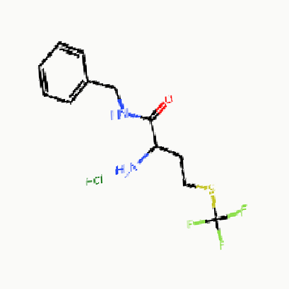 Cl.NC(CCSC(F)(F)F)C(=O)NCc1ccccc1